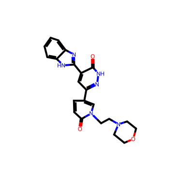 O=c1[nH]nc(-c2ccc(=O)n(CCN3CCOCC3)c2)cc1-c1nc2ccccc2[nH]1